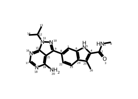 CNC(=O)c1[nH]c2cc(-c3nn(C(C)C)c4ncnc(N)c34)ccc2c1C